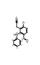 N#CCc1c(F)ccc(N=O)c1Nc1ccccc1